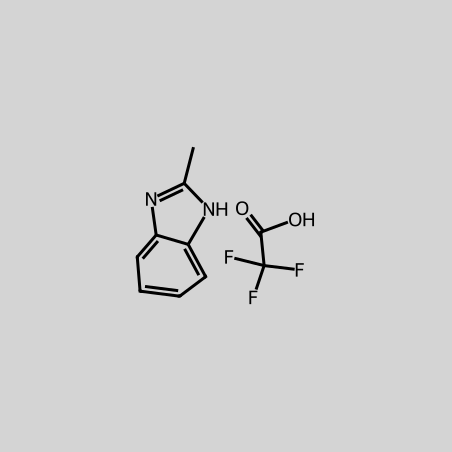 Cc1nc2ccccc2[nH]1.O=C(O)C(F)(F)F